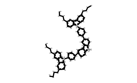 CCCCc1ccc2c(c1)c1cc(CCCC)ccc1n2-c1ccc(-c2ccc3[nH]c4ccc(-c5ccc(-n6c7ccc(CCCC)cc7c7cc(CCCC)ccc76)cc5)cc4c3c2)cc1